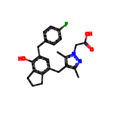 Cc1nn(CC(=O)O)c(C)c1Cc1cc(Cc2ccc(F)cc2)c(O)c2c1CCC2